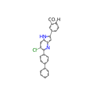 O=C(O)c1cccc(-c2cc3nc(-c4ccc(-c5ccccc5)cc4)c(Cl)cc3[nH]2)c1